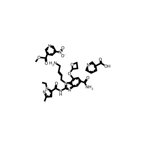 CCn1nc(C)cc1C(=O)Nc1nc2cc(C(N)=O)cc(OC3CCO3)c2n1CC=CCN.COC(=O)c1cncc([N+](=O)[O-])c1.O=C(O)c1cccnc1